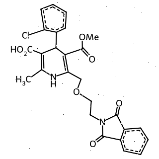 COC(=O)C1=C(COCCN2C(=O)c3ccccc3C2=O)NC(C)=C(C(=O)O)C1c1ccccc1Cl